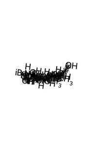 CC[C@H](C)[C@H](NC(=O)CNC(=O)C(C)(C)NC(=O)[C@@H](NC(=O)CNC(=O)CNC(=O)C(C)(C)NC(=O)[C@@H](NC(=O)CNC(=O)C(C)(C)NC(=O)CCCCCCCO)C(C)C)C(C)C)C(=O)N[C@H](CO)CC(C)C